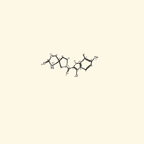 Cc1c(O)ccc2c(Cl)c(C(=O)N3CCC4(COC(=O)N4)C3)sc12